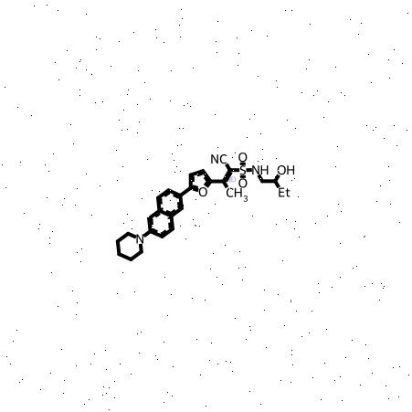 CCC(O)CNS(=O)(=O)/C(C#N)=C(\C)c1ccc(-c2ccc3cc(N4CCCCC4)ccc3c2)o1